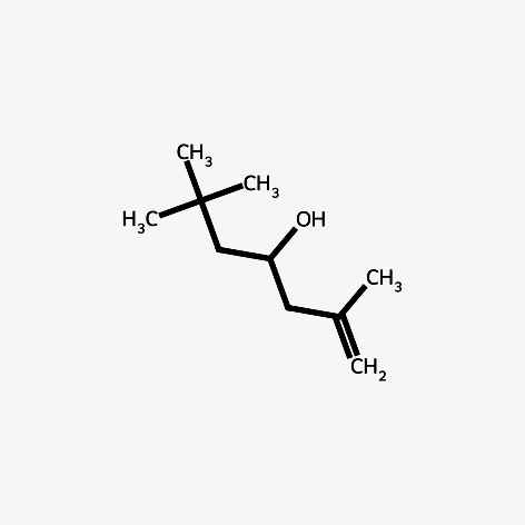 C=C(C)CC(O)CC(C)(C)C